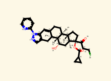 C[C@]12Cc3cnn(-c4ccccn4)c3C=C1CC[C@@H]1[C@@H]2[C@@H](O)C[C@@]2(C)[C@H]1CC[C@]2(OC(=O)C1CC1)C(=O)CCF